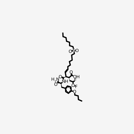 CCCCCCCS(=O)(=O)CCCCCC/C=C/[C@H](C(=O)N[C@@H](Cc1ccc(OCCCC)cc1)C(N)=O)[C@@H](CC(F)OF)C(=O)O